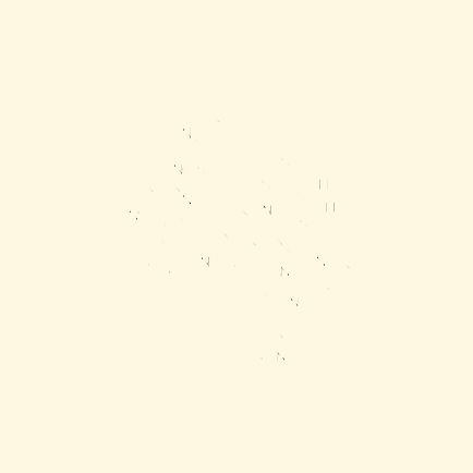 CC1(C)c2ccccc2N(c2cc(-c3cc(-c4cccnc4)nc(-c4ccccn4)n3)cc3c(N4c5ccccc5C(C)(C)c5ccccc54)cc(-c4cc(-c5ccccn5)nc(-c5cccnc5)n4)cc23)c2ccccc21